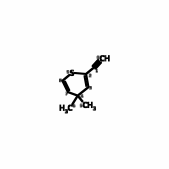 C#CC1=CC(C)(C)C=CS1